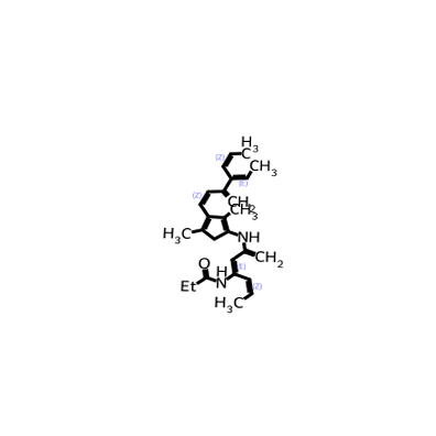 C=C(/C=C(\C=C/C)NC(=O)CC)NC1=C(C)C(/C=C\C(=C)C(/C=C\C)=C/C)=C(C)C1